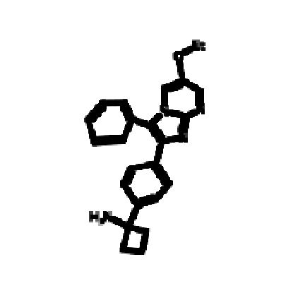 CCOc1cnc2nc(-c3ccc(C4(N)CCC4)cc3)c(-c3ccccc3)n2c1